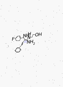 N=C(C1=CC=C(F)CC1)/C(C#Cc1ccccc1)=C(/N)NCCO